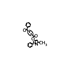 Cc1cc(OC(=O)N2CCN(C(=O)c3ccccc3)CC2)n(-c2ccccc2)n1